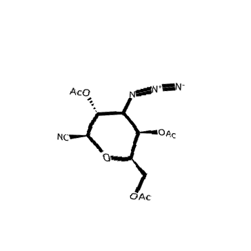 CC(=O)OC[C@H]1O[C@@H](C#N)[C@H](OC(C)=O)C(N=[N+]=[N-])[C@H]1OC(C)=O